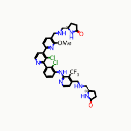 COc1nc(-c2ccnc(-c3cccc(Nc4nccc(CNC[C@H]5CCC(=O)N5)c4C(F)(F)F)c3Cl)c2Cl)ccc1CNC[C@H]1CCC(=O)N1